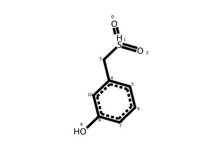 O=[SH](=O)Cc1cc[c]c(O)c1